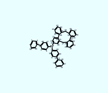 c1ccc(-c2ccc(N(c3ccc(-c4ccccc4)cc3)c3ccc4c(c3)Cc3ccccc3-c3ccccc3Cc3ccccc3-4)cc2)cc1